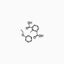 CCOc1ccccc1.Cc1c(C(=O)O)cccc1C(=O)O